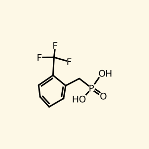 O=P(O)(O)Cc1ccccc1C(F)(F)F